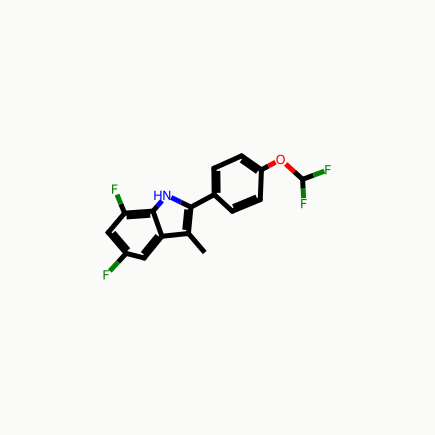 Cc1c(-c2ccc(OC(F)F)cc2)[nH]c2c(F)cc(F)cc12